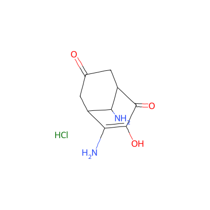 Cl.NC1=C(O)C(=O)C2CC(=O)CC1C2N